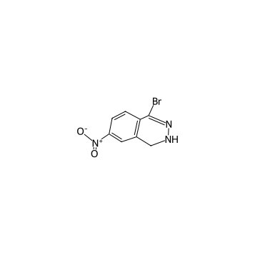 O=[N+]([O-])c1ccc2c(c1)CNN=C2Br